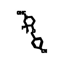 N#Cc1ccc(COC2CCN(C=O)CC2(F)F)cc1